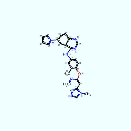 C=N/C(=C\c1nncn1C)Oc1ccc(Nc2ncnc3ccc(-n4cccc4)cc23)cc1C